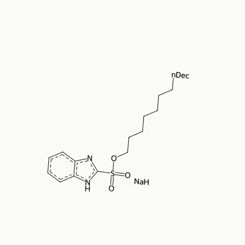 CCCCCCCCCCCCCCCCCOS(=O)(=O)c1nc2ccccc2[nH]1.[NaH]